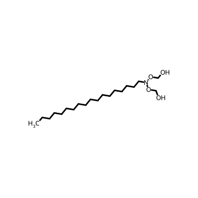 CCCCCCCCCCCCCCCCCCN(OCO)OCO